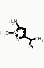 CC(C)C(C)c1cc(N)n(C)n1